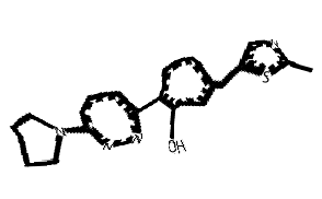 Cc1ncc(-c2ccc(-c3ccc(N4CCCC4)nn3)c(O)c2)s1